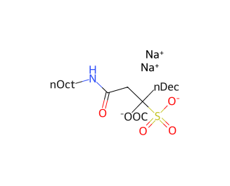 CCCCCCCCCCC(CC(=O)NCCCCCCCC)(C(=O)[O-])S(=O)(=O)[O-].[Na+].[Na+]